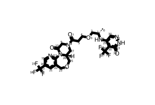 C[C@@H](COCCC(=O)N1CC(=O)N2c3ncc(C(F)(F)F)cc3COC[C@H]2C1)Nc1cn[nH]c(=O)c1C(F)(F)F